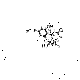 CCCCCCCCc1cc(O)c2c(c1)OC(C)(C)[C@H]1CCC(=O)C[C@H]21